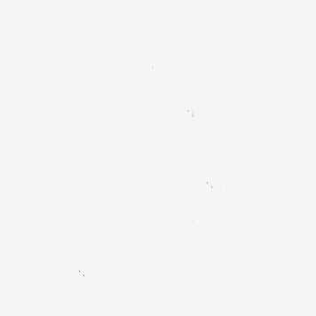 C/C=C/CNC[C@H](C)NS(=O)(=O)c1ccc2cnccc2c1